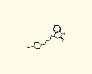 CC(=O)N1CCN(CCCOC2CC(=O)Nc3ccccc32)CC1